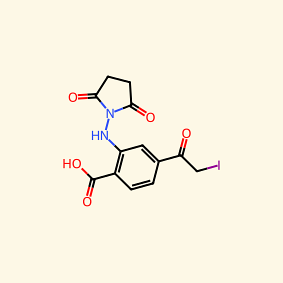 O=C(CI)c1ccc(C(=O)O)c(NN2C(=O)CCC2=O)c1